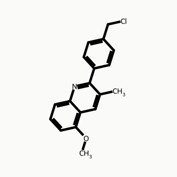 COc1cccc2nc(-c3ccc(CCl)cc3)c(C)cc12